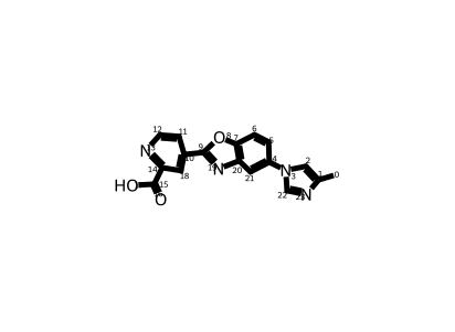 Cc1cn(-c2ccc3oc(-c4ccnc(C(=O)O)c4)nc3c2)cn1